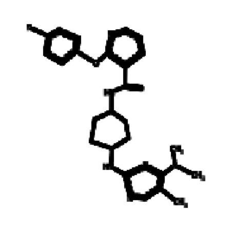 Cc1cnc(NC2CCC(NC(=O)c3cccnc3Oc3ccc(F)cc3)CC2)nc1N(C)C